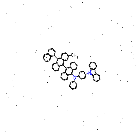 Cc1ccc2c(-c3cccc4ccccc34)c3ccccc3c(-c3c4ccccc4c(N(c4ccccc4)c4ccc(-n5c6ccccc6c6ccccc65)cc4)c4ccccc34)c2c1